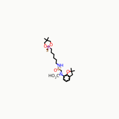 CC1(C)COP(=S)(CCCCCCN[S+]([O-])CN(C(=O)O)c2cccc3c2OC(C)(C)C3)OC1